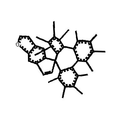 Cc1c(C)c(C)c2c(c1C)-c1c(C)c(C)c(C)c(C)c1C1(C=Cc3cc4occc4cc31)c1c(C)c(C)c(C)c(C)c1-2